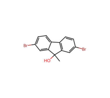 CC1(O)c2cc(Br)ccc2-c2ccc(Br)cc21